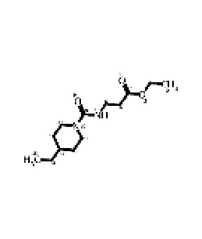 CCOC(=O)CCNC(=O)N1CCC(CC)CC1